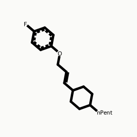 CCCCCC1CCC(C=CCOc2ccc(F)cc2)CC1